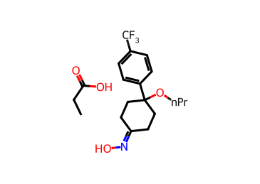 CCC(=O)O.CCCOC1(c2ccc(C(F)(F)F)cc2)CCC(=NO)CC1